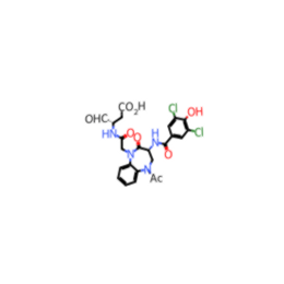 CC(=O)N1C[C@H](NC(=O)c2cc(Cl)c(O)c(Cl)c2)C(=O)N(CC(=O)N[C@H](C=O)CC(=O)O)c2ccccc21